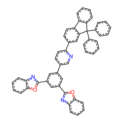 c1ccc(C2(c3ccccc3)c3ccccc3-c3ccc(-c4ccc(-c5cc(-c6nc7ccccc7o6)cc(-c6nc7ccccc7o6)c5)cn4)cc32)cc1